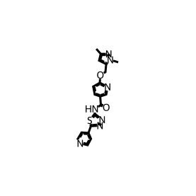 Cc1cc(COc2ccc(C(=O)Nc3nnc(-c4ccncc4)s3)cn2)n(C)n1